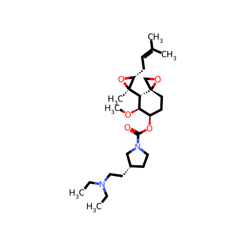 CCN(CC)CC[C@H]1CCN(C(=O)O[C@@H]2CC[C@]3(CO3)[C@@H]([C@@]3(C)O[C@@H]3CC=C(C)C)[C@@H]2OC)C1